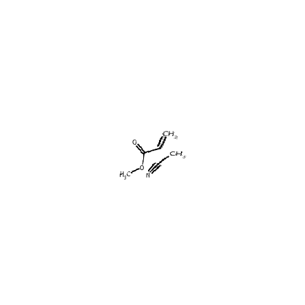 C=CC(=O)OC.CC#N